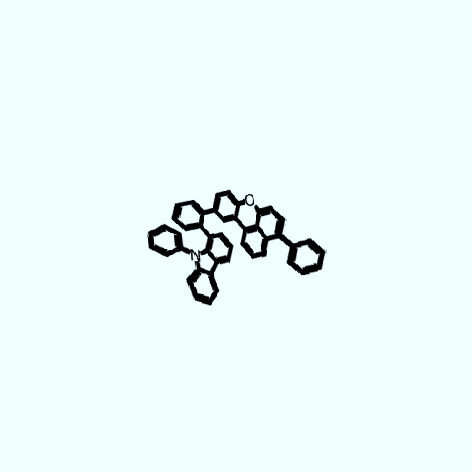 c1ccc(-c2ccc3c4c(cccc24)-c2cc(-c4ccccc4-c4cccc5c6ccccc6n(-c6ccccc6)c45)ccc2O3)cc1